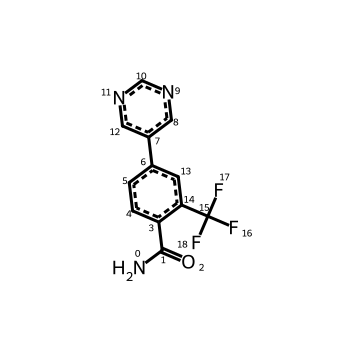 NC(=O)c1ccc(-c2cncnc2)cc1C(F)(F)F